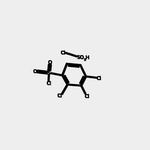 O=S(=O)(Cl)c1ccc(Cl)c(Cl)c1Cl.O=S(=O)(O)Cl